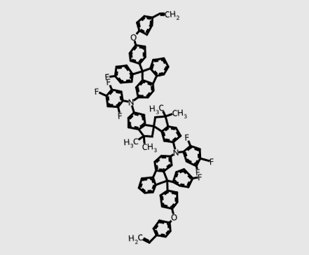 C=Cc1ccc(Oc2ccc(C3(c4ccc(F)cc4)c4ccccc4-c4ccc(N(c5ccc6c(c5)C5(CC6(C)C)CC(C)(C)c6ccc(N(c7ccc8c(c7)C(c7ccc(F)cc7)(c7ccc(Oc9ccc(C=C)cc9)cc7)c7ccccc7-8)c7cc(F)c(F)cc7F)cc65)c5cc(F)c(F)cc5F)cc43)cc2)cc1